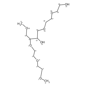 COCCOCCOC(COC)C(O)COCCOCCO